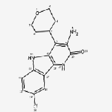 Nc1c(C2CCOCC2)c2[nH]c3ccc(Cl)cc3c2[nH]c1=O